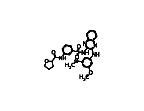 COc1cc(Nc2nc3ccccc3nc2NS(=O)(=O)c2cccc(NC(=O)C3CCCO3)c2)cc(OC)c1